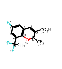 [2H]C(F)(F)c1cc(F)cc2c1O[C@H](C(F)(F)F)C(C(=O)O)=C2